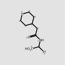 CCC(NC(=O)CC1CCOCC1)C(=O)O